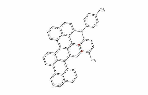 Cc1ccc(N(c2ccc(C)cc2)c2ccc3cccc4c3c2c2cccc3c2c4c2cccc4c5cccc6cccc(c65)c3c42)cc1